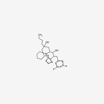 CCCCC1(O)CC(C(O)C(Cc2cc(F)cc(F)c2)c2ncc[nH]2)NC2(CCCCC2)C1